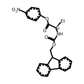 CC[C@@H](NC(=O)OCC1c2ccccc2-c2ccccc21)C(=O)Oc1ccc([N+](=O)[O-])cc1